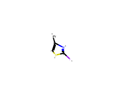 CC(C)c1csc(I)n1